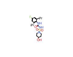 CC(C)c1cc(F)cc(C(C)C)c1NC(=O)NS(=O)(=O)N1CCC(O)CC1